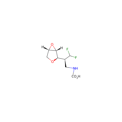 O=C(O)NC[C@H](C(F)F)[C@H]1OC[C@@H]2O[C@H]12